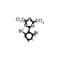 ClC(Cl)(Cl)c1nc(-c2c(Br)cccc2Br)nc(C(Cl)(Cl)Cl)n1